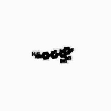 CNc1ccc(-c2ccc(-c3cc(C(=O)O)c4cc(F)ccc4n3)nc2)cc1